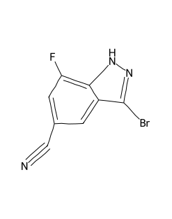 N#Cc1cc(F)c2[nH]nc(Br)c2c1